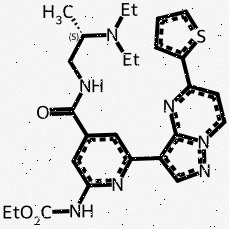 CCOC(=O)Nc1cc(C(=O)NC[C@H](C)N(CC)CC)cc(-c2cnn3ccc(-c4cccs4)nc23)n1